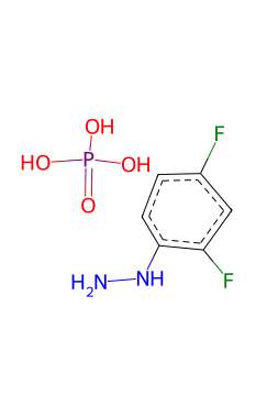 NNc1ccc(F)cc1F.O=P(O)(O)O